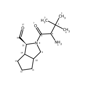 CC(C)(C)C(N)C(=O)N1CC2CCCC2[C@H]1C=O